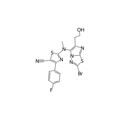 CN(c1nc(-c2ccc(F)cc2)c(C#N)s1)c1c(CCO)nc2sc(Br)nn12